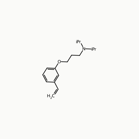 C=Cc1cccc(OCCCN(C(C)C)C(C)C)c1